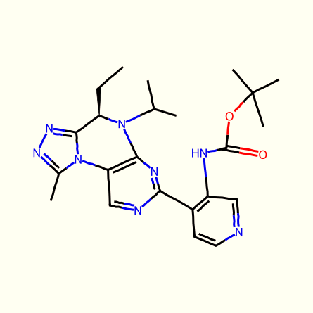 CC[C@@H]1c2nnc(C)n2-c2cnc(-c3ccncc3NC(=O)OC(C)(C)C)nc2N1C(C)C